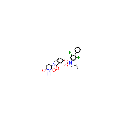 CN(C(=O)Oc1ccc2c(c1)C(=O)N(C1CCC(=O)NC1=O)C2)c1cc(F)c(-c2ccccc2)c(F)c1